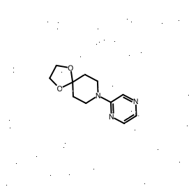 [c]1cnc(N2CCC3(CC2)OCCO3)cn1